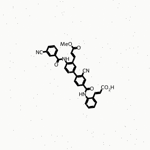 COC(=O)/C=C/c1cc(-c2ccc(C(=O)Nc3ccccc3/C=C/C(=O)O)cc2C#N)ccc1NC(=O)c1cccc(C#N)c1